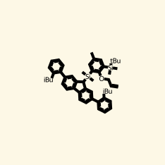 C=CCOc1c([Si](C)(C)C2c3cc(-c4ccccc4C(C)CC)ccc3-c3ccc(-c4ccccc4C(C)CC)cc32)cc(C)cc1[Si](C)(C)C(C)(C)C